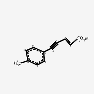 CCOC(=O)/C=C/C#Cc1ccc(C)cc1